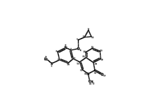 CCSc1cnc(OCC2CC2)c(-c2cn(C)c(=O)c3ccccc23)c1